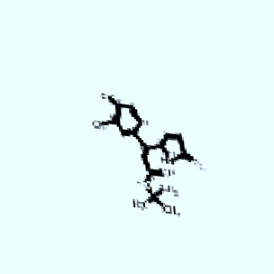 CC(C)(C)OC(=O)CC(c1ccc(Cl)c(Cl)c1)C1CCC(=O)N1